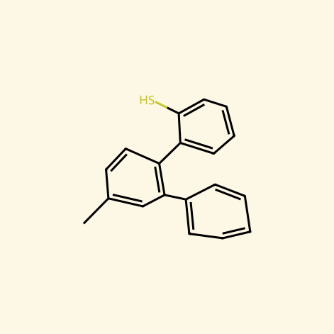 Cc1ccc(-c2ccccc2S)c(-c2ccccc2)c1